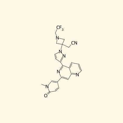 Cn1cc(-c2cc3ncccc3c(-c3ccn(C4(CC#N)CN(CC(F)(F)F)C4)n3)n2)ccc1=O